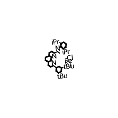 CC(=Nc1c(C(C)C)cccc1C(C)C)c1ccc2ccc3ccc(-c4cc(C(C)(C)C)cc(C(C)(C)C)c4)nc3c2n1.[Cl][Fe][Cl]